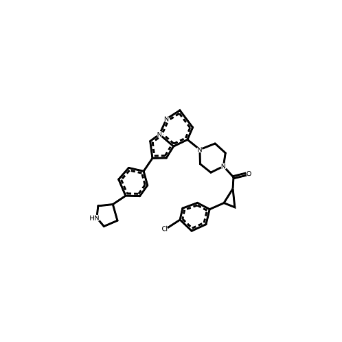 O=C(C1CC1c1ccc(Cl)cc1)N1CCN(c2ccnn3cc(-c4ccc(C5CCNC5)cc4)cc23)CC1